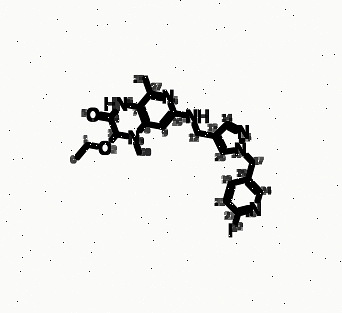 CCOC1C(=O)Nc2c(cc(NCc3cnn(Cc4ccc(F)nc4)c3)nc2C)N1C